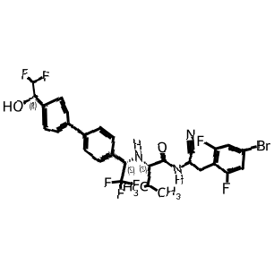 CC(C)[C@H](N[C@@H](c1ccc(-c2ccc([C@@H](O)C(F)F)cc2)cc1)C(F)(F)F)C(=O)NC(C#N)Cc1c(F)cc(Br)cc1F